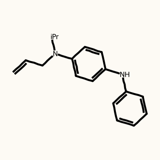 C=CCN(c1ccc(Nc2ccccc2)cc1)C(C)C